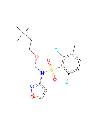 Cc1ccc(F)c(S(=O)(=O)N(COCC[Si](C)(C)C)c2ccon2)c1F